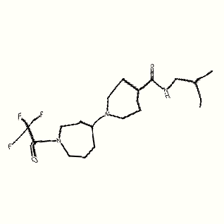 CC(C)CNC(=O)C1CCN(C2CCCN(C(=O)C(F)(F)F)CC2)CC1